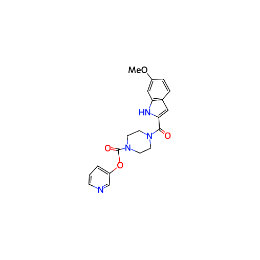 COc1ccc2cc(C(=O)N3CCN(C(=O)Oc4cccnc4)CC3)[nH]c2c1